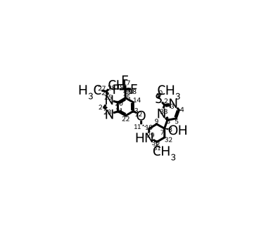 CSc1nccc([C@@]2(O)C[C@@H](COc3cc(C(F)(F)F)c4c(c3)ncn4C(C)C)N[C@@H](C)C2)n1